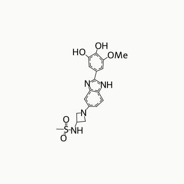 COc1cc(-c2nc3cc(N4CC(NS(C)(=O)=O)C4)ccc3[nH]2)cc(O)c1O